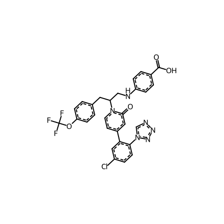 O=C(O)c1ccc(NCC(Cc2ccc(OC(F)(F)F)cc2)n2ccc(-c3cc(Cl)ccc3-n3cnnn3)cc2=O)cc1